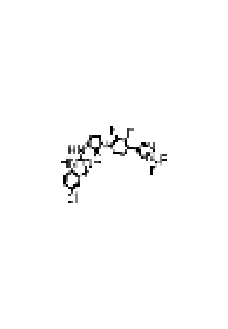 O=C(Nc1ccc(Cl)cc1F)N[C@@H]1CCN(c2ccc(-c3cnn(C(F)F)c3)c(F)c2F)C1=O